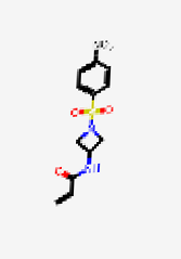 C=CC(=O)NC1CN(S(=O)(=O)c2ccc([N+](=O)[O-])cc2)C1